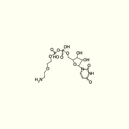 NCCOCCOP(=O)(O)OP(=O)(O)OCC1OC(n2ccc(=O)[nH]c2=O)C(O)C1O